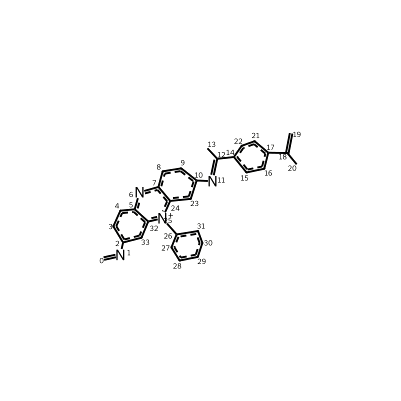 C=Nc1ccc2nc3ccc(/N=C(\C)c4ccc(C(=C)C)cc4)cc3[n+](-c3ccccc3)c2c1